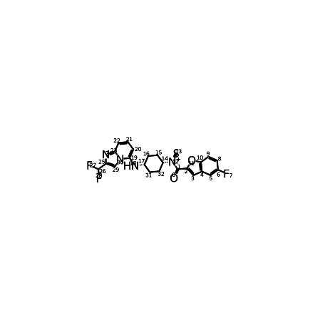 O=C(c1cc2cc(F)ccc2o1)[N+](=S)[C@H]1CC[C@@H](Nc2cccc3nc(C(F)F)cn23)CC1